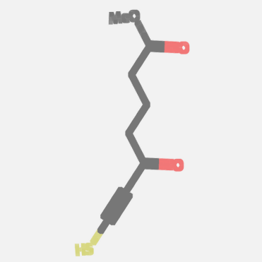 COC(=O)CCCC(=O)C#CS